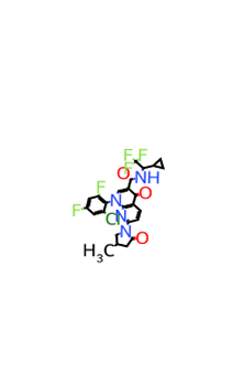 CC1CC(=O)N(c2ccc3c(=O)c(C(=O)NC(C4CC4)C(F)(F)F)cn(-c4c(F)cc(F)cc4Cl)c3n2)C1